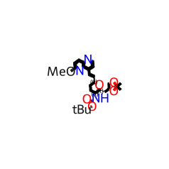 COc1ccc2nccc(C=C[C@@H]3CC[C@@H](NC(=O)OC(C)(C)C)[C@@H](CC4COC(C)(C)O4)O3)c2n1